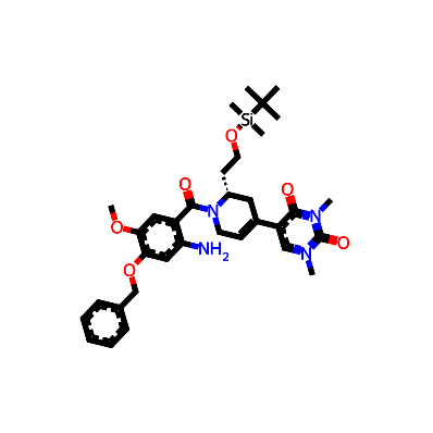 COc1cc(C(=O)N2CC=C(c3cn(C)c(=O)n(C)c3=O)C[C@H]2CCO[Si](C)(C)C(C)(C)C)c(N)cc1OCc1ccccc1